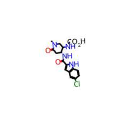 CN1CC(NC(=O)O)[C@H](NC(=O)c2cc3cc(Cl)ccc3[nH]2)CC1=O